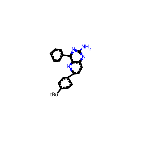 CC(C)(C)c1ccc(-c2ccc3nc(N)nc(-c4ccccc4)c3n2)cc1